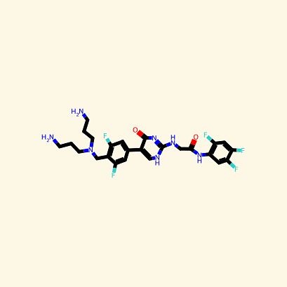 NCCCN(CCCN)Cc1c(F)cc(-c2c[nH]c(NCC(=O)Nc3cc(F)c(F)cc3F)nc2=O)cc1F